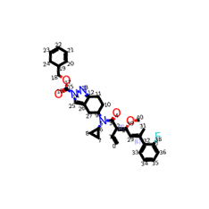 C=C/C(C(=O)N(C1CC1)C1CCc2nn(C(=O)OCC3C=CC=CC3)cc2C1)=C(\C=C(/C)c1ccccc1F)OC